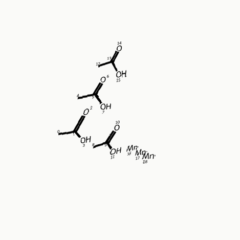 CC(=O)O.CC(=O)O.CC(=O)O.CC(=O)O.[Mn].[Mn].[Mn]